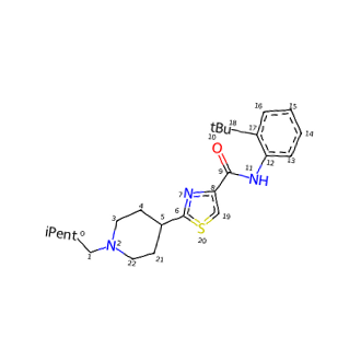 CCCC(C)CN1CCC(c2nc(C(=O)Nc3ccccc3C(C)(C)C)cs2)CC1